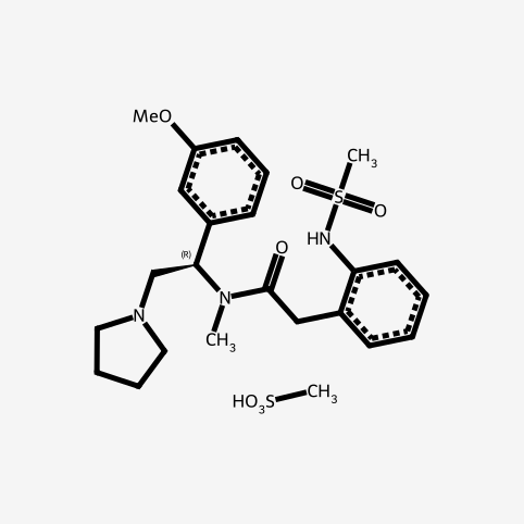 COc1cccc([C@H](CN2CCCC2)N(C)C(=O)Cc2ccccc2NS(C)(=O)=O)c1.CS(=O)(=O)O